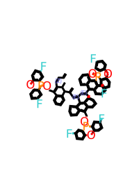 C=C/C=C\C1=C(COP2c3cc(F)ccc3Oc3ccc(F)cc32)c2ccccc2C(C(=C)/C=C(\C=C(/C)c2c3ccccc3c(P3(=O)c4cc(F)ccc4Oc4ccc(F)cc43)c3ccccc23)c2c3ccccc3c(COP3c4cc(F)ccc4Oc4ccc(F)cc43)c3ccccc23)C1C